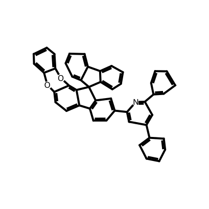 c1ccc(-c2cc(-c3ccccc3)nc(-c3ccc4c(c3)C3(c5ccccc5-c5ccccc53)c3c-4ccc4c3Oc3ccccc3O4)c2)cc1